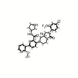 CCOc1ncccc1-c1ccc(N2CCN3C(=O)N(c4ccc(Cl)cc4C(F)(F)F)C[C@@H]3C2)c(C(=O)NC2CCNC2)n1